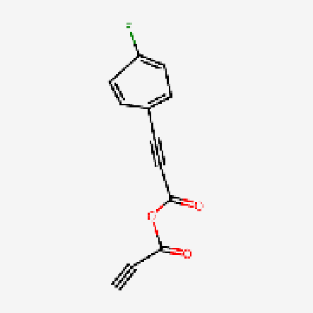 C#CC(=O)OC(=O)C#Cc1ccc(F)cc1